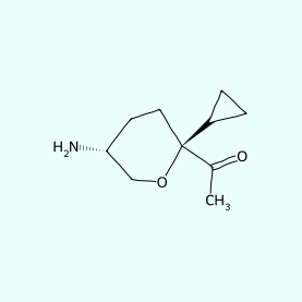 CC(=O)[C@@]1(C2CC2)CC[C@@H](N)CO1